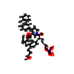 COCCCc1ccccc1CC1(COC2CN(C(=O)CCCCON(O)O)CC[C@@H]2c2cccc(-c3ccccc3)c2)CC1